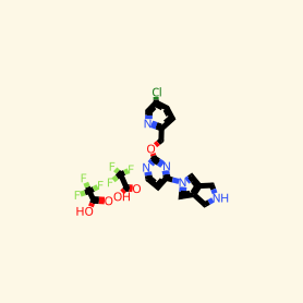 Clc1ccc(COc2nccc(-n3cc4c(c3)CNC4)n2)nc1.O=C(O)C(F)(F)F.O=C(O)C(F)(F)F